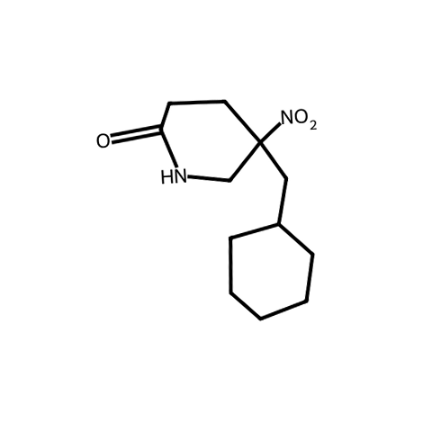 O=C1CCC(CC2CCCCC2)([N+](=O)[O-])CN1